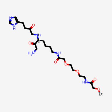 CCOCC(=O)NCCOCCOCC(=O)NCCCC[C@H](NCC(=O)CCc1cnc[nH]1)C(=O)CN